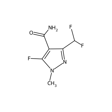 Cn1nc(C(F)F)c(C(N)=O)c1F